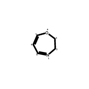 [C]1=NCCOC=C1